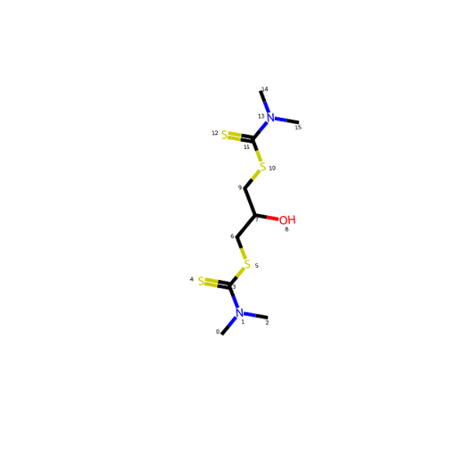 CN(C)C(=S)SCC(O)CSC(=S)N(C)C